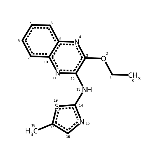 CCOc1nc2ccccc2nc1Nc1ncc(C)s1